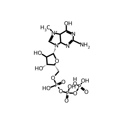 C[N+]1=CN([C@@H]2O[C@H](COP(=O)(O)OP(=O)(O)OP(=O)(O)O)[C@H](O)C2O)C2N=C(N)N=C(O)C21